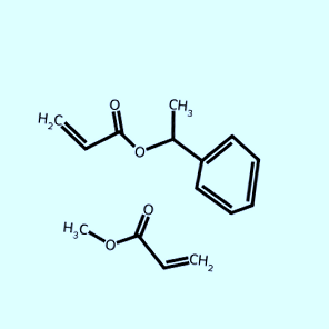 C=CC(=O)OC.C=CC(=O)OC(C)c1ccccc1